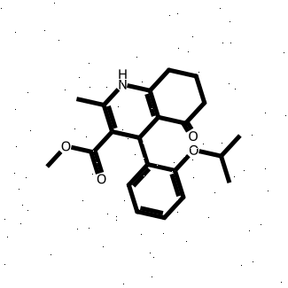 COC(=O)C1=C(C)NC2=C(C(=O)CCC2)C1c1ccccc1OC(C)C